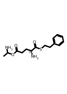 CC(N)OC(=O)CC[C@H](N)C(=O)SCCc1ccccc1